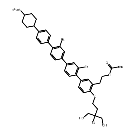 CCCCCC1CCC(c2ccc(-c3ccc(-c4ccc(-c5ccc(OCCC(CC)(CO)CO)c(CCOC(=O)C(C)(C)C)c5)c(CC)c4)cc3CC)cc2)CC1